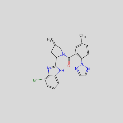 C=C1CC(c2nc3c(Br)cccc3[nH]2)N(C(=O)c2cc(C)ccc2-n2nccn2)C1